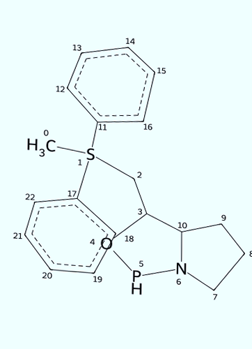 CS(CC1OPN2CCCC12)(c1ccccc1)c1ccccc1